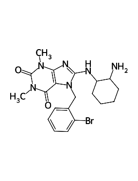 Cn1c(=O)c2c(nc(NC3CCCCC3N)n2Cc2ccccc2Br)n(C)c1=O